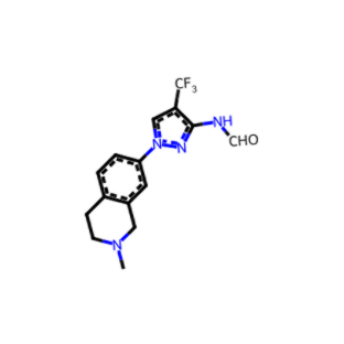 CN1CCc2ccc(-n3cc(C(F)(F)F)c(NC=O)n3)cc2C1